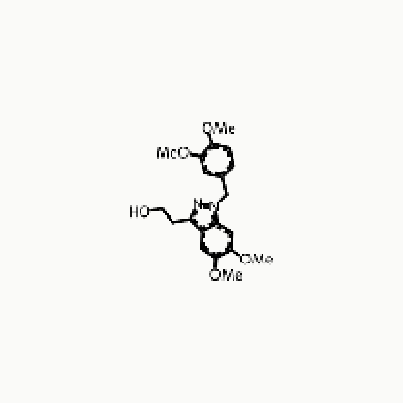 COc1ccc(Cn2nc(CCO)c3cc(OC)c(OC)cc32)cc1OC